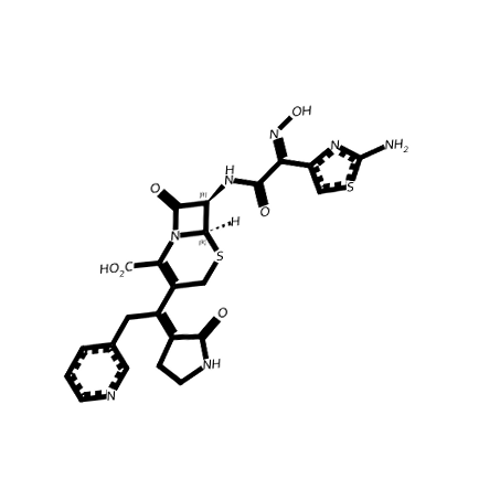 Nc1nc(C(=NO)C(=O)N[C@@H]2C(=O)N3C(C(=O)O)=C(C(Cc4cccnc4)=C4CCNC4=O)CS[C@H]23)cs1